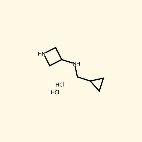 C1CC1CNC1CNC1.Cl.Cl